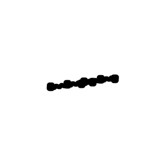 COCCCCCOCCCCOOCCOCCOCCCCOC